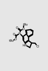 CC(C)(C)OC(=O)N(C(=O)OC(C)(C)C)c1cc2c(c3ccccc13)C(CCl)CN2